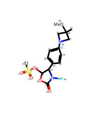 CCS(=O)(=O)OC1OC(=O)N(F)C1c1ccc(N2CC(C)(OC)C2)cc1